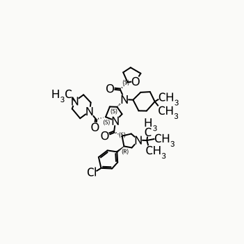 CN1CCN(C(=O)[C@@H]2C[C@H](N(C(=O)[C@@H]3CCCO3)C3CCC(C)(C)CC3)CN2C(=O)[C@@H]2CN(C(C)(C)C)C[C@H]2c2ccc(Cl)cc2)CC1